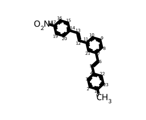 Cc1ccc(C=Cc2cccc(C=Cc3ccc([N+](=O)[O-])cc3)c2)cc1